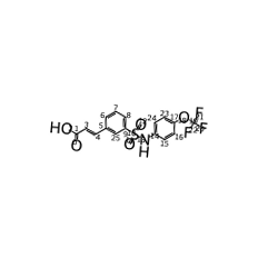 O=C(O)C=Cc1cccc(S(=O)(=O)Nc2ccc(OC(F)(F)F)cc2)c1